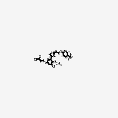 COc1c(Cl)cc(OCC=C(Cl)Cl)cc1-c1csc(CCOc2ccc(C(F)(F)F)cn2)n1